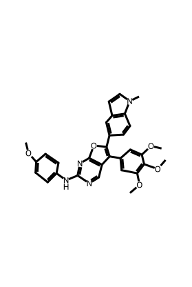 COc1ccc(Nc2ncc3c(-c4cc(OC)c(OC)c(OC)c4)c(-c4ccc5c(ccn5C)c4)oc3n2)cc1